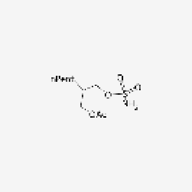 CCCCCC(COC(C)=O)COS(N)(=O)=O